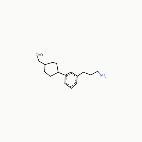 NCCCc1cccc(C2CCC(CC=O)CC2)c1